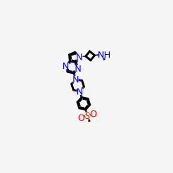 CN[C@H]1C[C@H](n2ccc3ncc(N4CCN(c5ccc(S(C)(=O)=O)cc5)CC4)nc32)C1